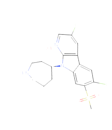 CS(=O)(=O)c1cc2c(cc1F)c1cc(F)cnc1n2[C@H]1CCCNC[C@@H]1O